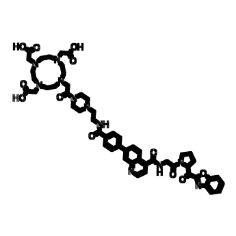 O=C(O)CN1CCN(CC(=O)O)CCN(CC(=O)N2CCN(CCNC(=O)c3ccc(-c4ccc5c(C(=O)NCC(=O)N6CCCC6C(=O)c6nc7ccccc7o6)ccnc5c4)cc3)CC2)CCN(CC(=O)O)CC1